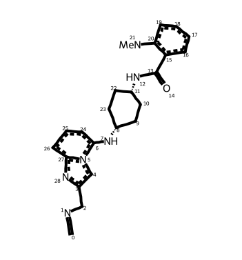 C=NCc1cn2c(N[C@H]3CC[C@@H](NC(=O)c4ccccc4NC)CC3)cccc2n1